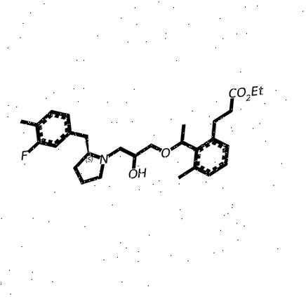 CCOC(=O)CCc1cccc(C)c1C(C)OCC(O)CN1CCC[C@H]1Cc1ccc(C)c(F)c1